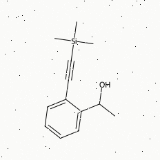 CC(O)c1ccccc1C#C[Si](C)(C)C